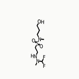 CN(NCCS(=O)(=O)N(C)CCCO)C(F)F